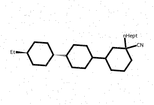 CCCCCCCC1(C#N)CCCC(C2CCC([C@H]3CC[C@H](CC)CC3)CC2)C1